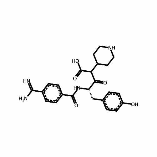 N=C(N)c1ccc(C(=O)N[C@@H](Cc2ccc(O)cc2)C(=O)C(C(=O)O)C2CCNCC2)cc1